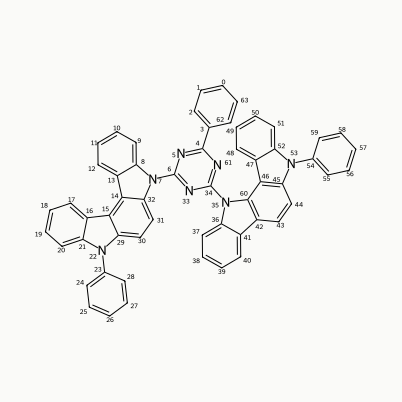 c1ccc(-c2nc(-n3c4ccccc4c4c5c6ccccc6n(-c6ccccc6)c5ccc43)nc(-n3c4ccccc4c4ccc5c(c6ccccc6n5-c5ccccc5)c43)n2)cc1